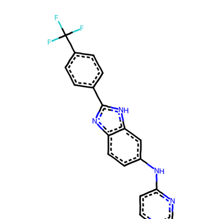 FC(F)(F)c1ccc(-c2nc3ccc(Nc4ccncn4)cc3[nH]2)cc1